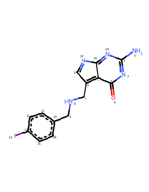 NC1=NC(=O)C2=C(CNCc3ccc(I)cc3)C=NC2=N1